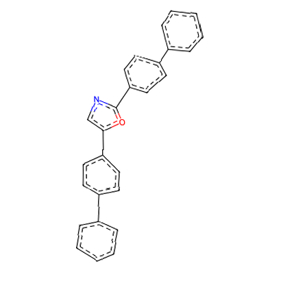 c1ccc(-c2ccc(-c3cnc(-c4ccc(-c5ccccc5)cc4)o3)cc2)cc1